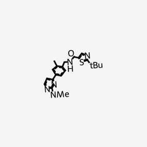 CNc1nccc(-c2ccc(CNC(=O)c3cnc(C(C)(C)C)s3)c(C)c2)n1